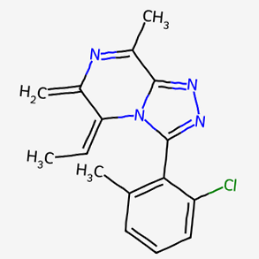 C=c1nc(C)c2nnc(-c3c(C)cccc3Cl)n2/c1=C/C